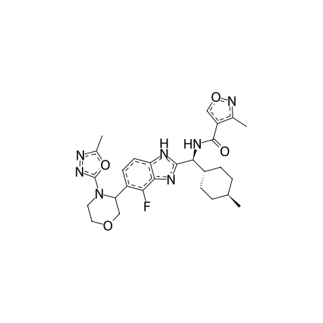 Cc1nnc(N2CCOCC2c2ccc3[nH]c([C@@H](NC(=O)c4conc4C)[C@H]4CC[C@H](C)CC4)nc3c2F)o1